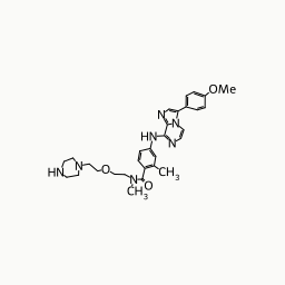 COc1ccc(-c2cnc3c(Nc4ccc(C(=O)N(C)CCOCCN5CCNCC5)c(C)c4)nccn23)cc1